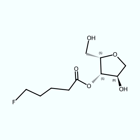 O=C(CCCCF)O[C@H]1[C@H](O)CO[C@H]1CO